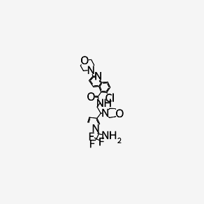 C=C/C(=C\N=C(/N)C(F)(F)F)C(CNC(=O)c1c(Cl)ccc2nc(N3CCOCC3)ccc12)N1CCOCC1